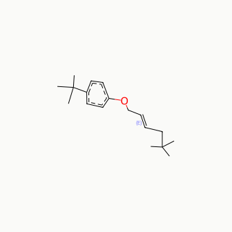 CC(C)(C)C/C=C/COc1ccc(C(C)(C)C)cc1